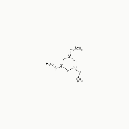 C=CP1CP(C=C)CP(C=C)C1